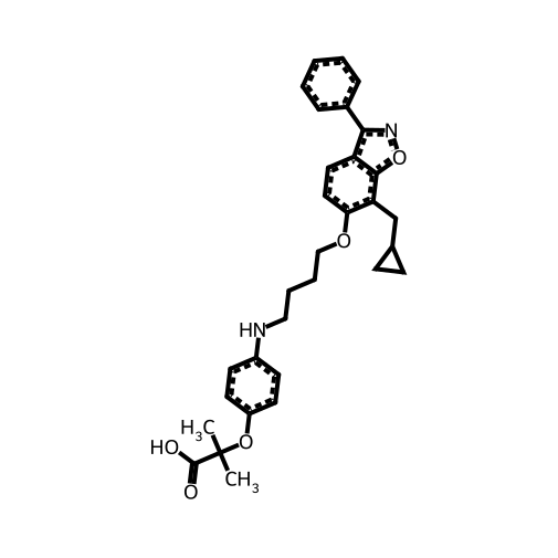 CC(C)(Oc1ccc(NCCCCOc2ccc3c(-c4ccccc4)noc3c2CC2CC2)cc1)C(=O)O